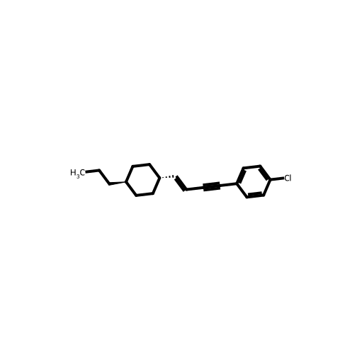 CCC[C@H]1CC[C@H](/C=C/C#Cc2ccc(Cl)cc2)CC1